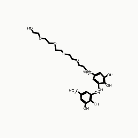 O=C(O)c1cc(O)c(O)c(O)c1.O=C(O)c1cc(O)c(O)c(O)c1.OCCOCCOCCOCCOCCO